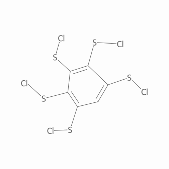 ClSc1cc(SCl)c(SCl)c(SCl)c1SCl